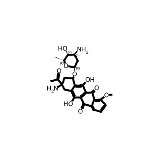 COc1cccc2c1C(=O)c1c(O)c3c(c(O)c1C2=O)CC(N)(C(C)=O)CC3O[C@H]1C[C@H](N)[C@@H](O)[C@@H](C)O1